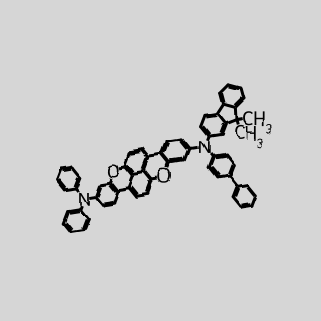 CC1(C)c2ccccc2-c2ccc(N(c3ccc(-c4ccccc4)cc3)c3ccc4c(c3)Oc3ccc5c6c(ccc-4c36)Oc3cc(N(c4ccccc4)c4ccccc4)ccc3-5)cc21